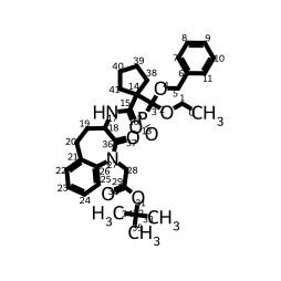 CCOC(OCc1ccccc1)(P=O)C1(C(=O)NC2CCc3ccccc3N(CC(=O)OC(C)(C)C)C2=O)CCCC1